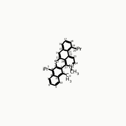 Cc1c2c(c(C(C)C)c3ccccc13)Sc1cc3cccc(C(C)C)c3c3cc[n+](C)c-2c13